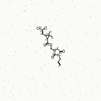 C=CCN1C(=O)CN(COC(=O)C2C(C=C(Cl)Cl)C2(C)C)C1=O